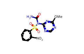 COc1ncnc(N(C(N)=O)S(=O)(=O)c2ccccc2[N+](=O)[O-])n1